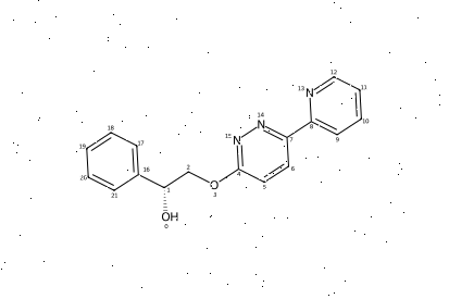 O[C@@H](COc1ccc(-c2ccccn2)nn1)c1ccccc1